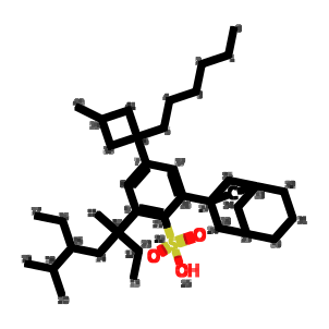 CCCCCCC1(c2cc(C(C)(CC)CC(CC)C(C)C)c(S(=O)(=O)O)c(C34CC5CCCC(C5)(C3)C4)c2)CC(C)C1